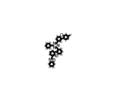 Cc1ccc2c(c1)oc1ccc(-c3nc(-c4ccccc4)nc(-c4cccc5oc6c(-c7nc8ccccc8o7)cccc6c45)n3)cc12